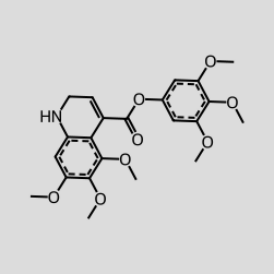 COc1cc(OC(=O)C2=CCNc3cc(OC)c(OC)c(OC)c32)cc(OC)c1OC